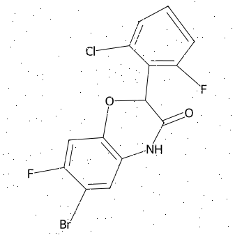 O=C1Nc2cc(Br)c(F)cc2OC1c1c(F)cccc1Cl